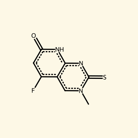 Cn1cc2c(F)cc(=O)[nH]c2nc1=S